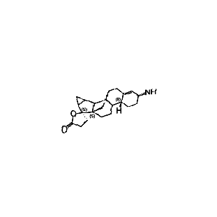 CC[C@]12CCC3C(CCC4=CC(=N)CC[C@@H]43)C1C1CC1[C@@]21CCC(=O)O1